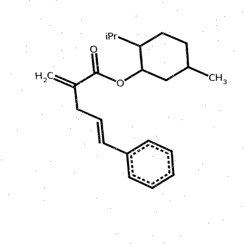 C=C(CC=Cc1ccccc1)C(=O)OC1CC(C)CCC1C(C)C